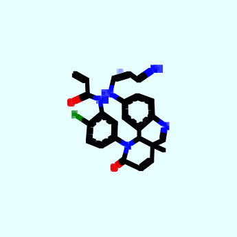 C=CC(=O)Nc1cc(N2C(=O)C=CC3(C)C=Nc4ccc(N/C=C\C=N)cc4C23)ccc1F